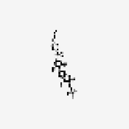 CCCCC1CCC(C(=O)Oc2cc(F)c(-c3ccc4c(F)c(C#CC(F)(F)F)c(F)cc4c3)c(F)c2)CC1